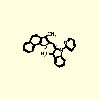 C=c1/c(=C\c2oc3c(ccc4ccccc43)c2C)n(-c2ccccn2)c2ccccc12